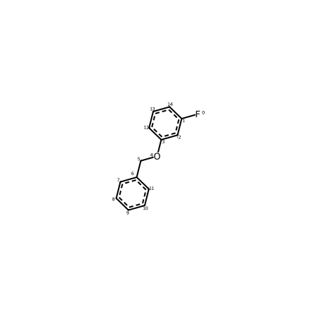 Fc1[c]c(OCc2ccccc2)ccc1